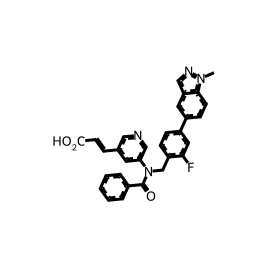 Cn1ncc2cc(-c3ccc(CN(C(=O)c4ccccc4)c4cncc(C=CC(=O)O)c4)c(F)c3)ccc21